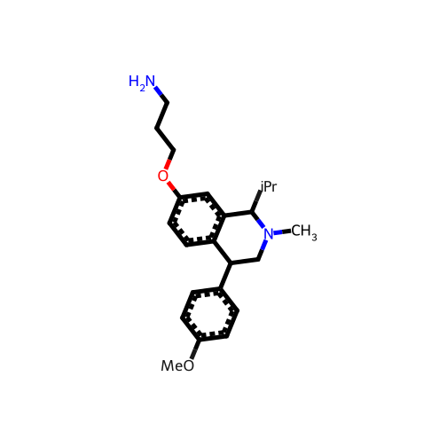 COc1ccc(C2CN(C)C(C(C)C)c3cc(OCCCN)ccc32)cc1